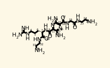 N=C(N)NCCC[C@H](NC(=O)c1nc(N)c(C(=O)NCC(=O)NCCN)nc1N)C(=O)NCCN